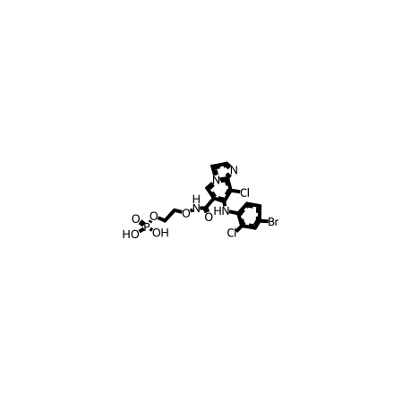 O=C(NOCCOP(=O)(O)O)c1cn2ccnc2c(Cl)c1Nc1ccc(Br)cc1Cl